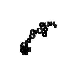 CS(=O)(=O)Nc1nccc(COc2ccc3c(ccn3-c3cc(Cl)c(OCCN)c(C#N)c3)c2)n1